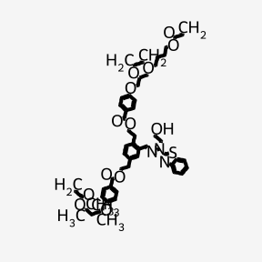 C=CC(=C)OC(COCCCCOC(=O)C=C)COc1ccc(C(=O)OCCc2ccc(CCOC(=O)c3ccc(OC(C)(C)CC(C)(C)OC(=O)C=C)cc3)cc2/C=N/N(CCO)c2nc3ccccc3s2)cc1